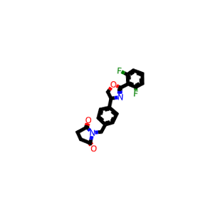 O=C1CCC(=O)N1Cc1ccc(C2COC(c3c(F)cccc3F)=N2)cc1